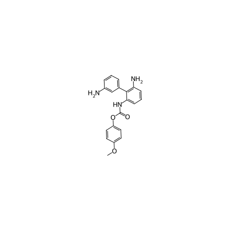 COc1ccc(OC(=O)Nc2cccc(N)c2-c2cccc(N)c2)cc1